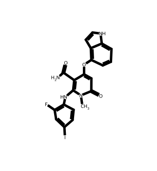 Cn1c(Nc2ccc(I)cc2F)c(C(N)=O)c(Oc2cccc3[nH]ccc23)cc1=O